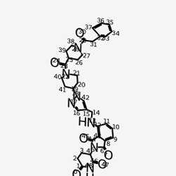 O=C1CCC(N2C(=O)c3cccc(NCc4cnn(C5CCN(C(=O)C6CCN(C(=O)Cc7ccccc7)CC6)CC5)c4)c3C2=O)C(=O)N1